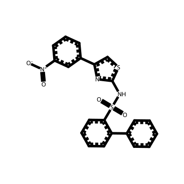 O=[N+]([O-])c1cccc(-c2csc(NS(=O)(=O)c3ccccc3-c3ccccc3)n2)c1